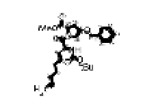 C=CCCCCC[C@H](NC(=O)OC(C)(C)C)C(=O)N1C[C@H](OCc2ccccc2)C[C@H]1C(=O)OC